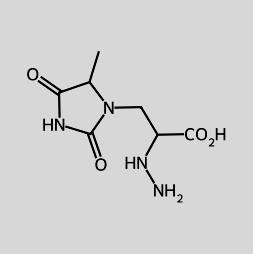 CC1C(=O)NC(=O)N1CC(NN)C(=O)O